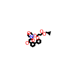 O=C(CCC(=O)OC[N+]1(c2cc(=O)c3cccc(-c4ccccc4)c3o2)CCOCC1)OCC1CC1